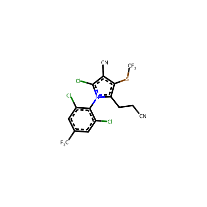 N#CCCc1c(SC(F)(F)F)c(C#N)c(Cl)n1-c1c(Cl)cc(C(F)(F)F)cc1Cl